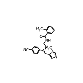 Cc1ccccc1C(=O)NCCN(Cc1cncn1C)c1ccc(C#N)cc1